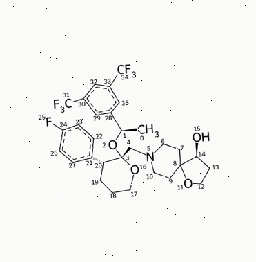 C[C@@H](O[C@]1(CN2CCC3(CC2)OCC[C@@H]3O)OCCC[C@@H]1c1ccc(F)cc1)c1cc(C(F)(F)F)cc(C(F)(F)F)c1